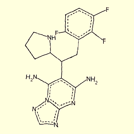 Nc1nc2ncnn2c(N)c1C(Cc1c(F)ccc(F)c1F)C1CCCN1